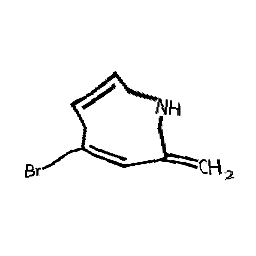 C=C1C=C(Br)C=CN1